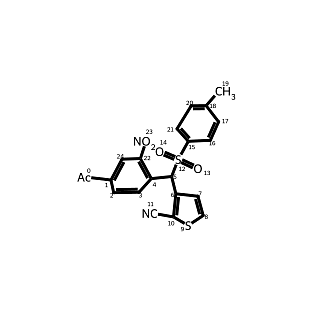 CC(=O)c1ccc(C(c2ccsc2C#N)S(=O)(=O)c2ccc(C)cc2)c([N+](=O)[O-])c1